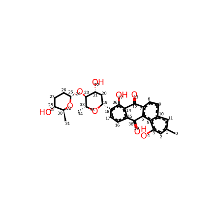 Cc1cc(O)c2c3c(ccc2c1)C(=O)c1c(ccc([C@H]2C[C@@H](O)[C@H](O[C@H]4CC[C@@H](O)[C@H](C)O4)[C@@H](C)O2)c1O)C3=O